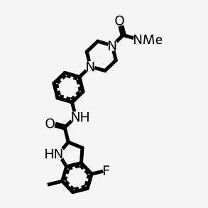 CNC(=O)N1CCN(c2cccc(NC(=O)C3Cc4c(F)ccc(C)c4N3)c2)CC1